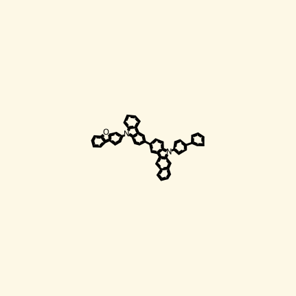 c1ccc(-c2ccc(-n3c4ccc(-c5ccc6c(c5)c5ccccc5n6-c5ccc6c(c5)oc5ccccc56)cc4c4cc5ccccc5cc43)cc2)cc1